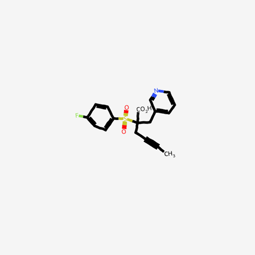 CC#CCC(Cc1cccnc1)(C(=O)O)S(=O)(=O)c1ccc(F)cc1